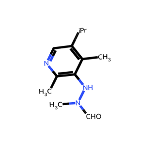 Cc1ncc(C(C)C)c(C)c1NN(C)C=O